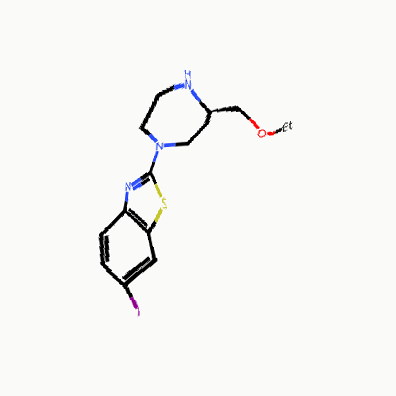 CCOC[C@H]1CN(c2nc3ccc(I)cc3s2)CCN1